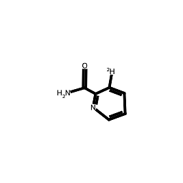 [2H]c1cccnc1C(N)=O